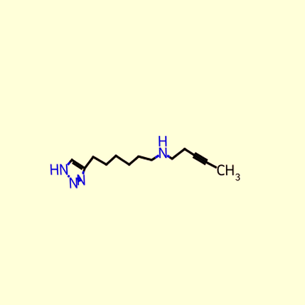 CC#CCCNCCCCCCc1c[nH]nn1